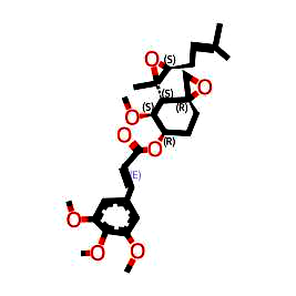 COc1cc(/C=C/C(=O)O[C@@H]2CC[C@]3(CO3)[C@@H](C3(C)O[C@H]3CC=C(C)C)[C@@H]2OC)cc(OC)c1OC